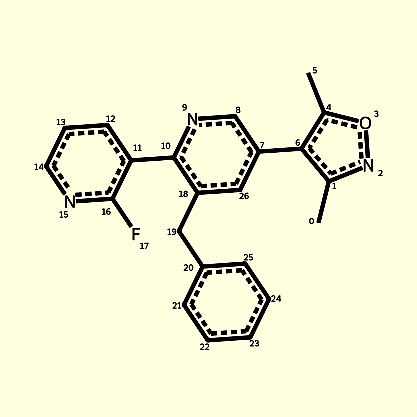 Cc1noc(C)c1-c1cnc(-c2cccnc2F)c(Cc2ccccc2)c1